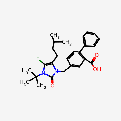 CC(C)CCc1c(F)n(C(C)(C)C)c(=O)n1Cc1ccc(-c2ccccc2)c(C(=O)O)c1